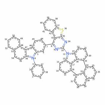 c1ccc(-n2c3cc(-c4nc(-n5c6cccc7c6c6c(cccc65)-c5cccc6cccc-7c56)nc5sc6ccccc6c45)ccc3c3c4ccccc4ccc32)cc1